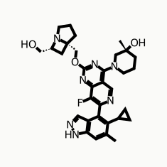 Cc1cc2[nH]ncc2c(-c2ncc3c(N4CCC[C@@](C)(O)C4)nc(OC[C@@]45CCCN4[C@@H](CO)C5)nc3c2F)c1C1CC1